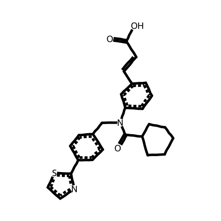 O=C(O)C=Cc1cccc(N(Cc2ccc(-c3nccs3)cc2)C(=O)C2CCCCC2)c1